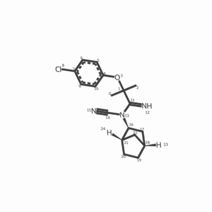 CC(C)(Oc1ccc(Cl)cc1)C(=N)N(C#N)[C@H]1C[C@@H]2CC[C@H]1C2